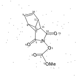 COC(=O)ON1C(=O)C2C3C=CC(C3)C2C1=O